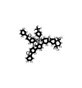 CC(C)(C)c1ccc(Nc2cc3sc4cc5c(cc4c3cc2-c2ccc3c4cc6c(cc4n4c3c2Bc2cc3oc(-c7ccccc7)cc3cc2-4)oc2ccccc26)C(C)(C)CCC5(C)C)cc1